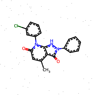 Cc1cc(=O)n(-c2cccc(Cl)c2)c2[nH]n(-c3ccccc3)c(=O)c12